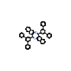 c1ccc(-c2cc(/C3=N/c4cc5ccccc5cc4/C(c4cc(-c5ccccc5)cc(-c5ccccc5)c4)=N\c4cc5ccccc5cc43)cc(-c3ccccc3)c2)cc1